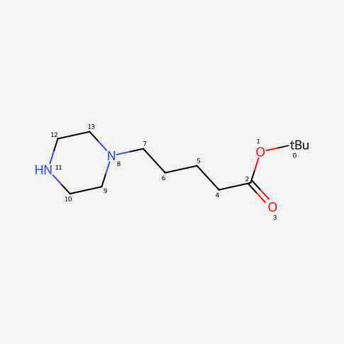 CC(C)(C)OC(=O)CCCCN1CCNCC1